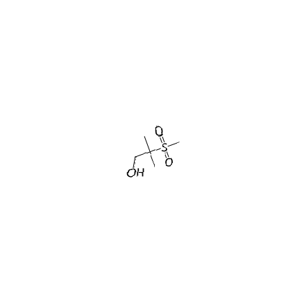 CC(C)(CO)S(C)(=O)=O